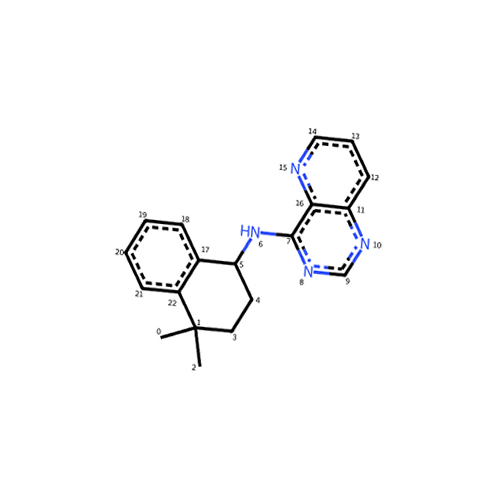 CC1(C)CCC(Nc2ncnc3cccnc23)c2ccccc21